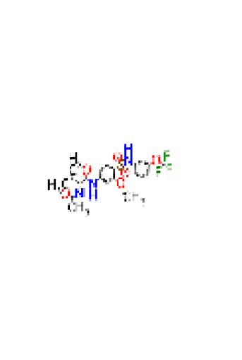 CCOc1cc(NC(=O)[C@@H](NC(C)=O)C(C)C)ccc1S(=O)(=O)Nc1cccc(OC(F)(F)F)c1